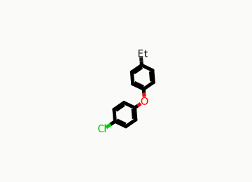 [CH2]Cc1ccc(Oc2ccc(Cl)cc2)cc1